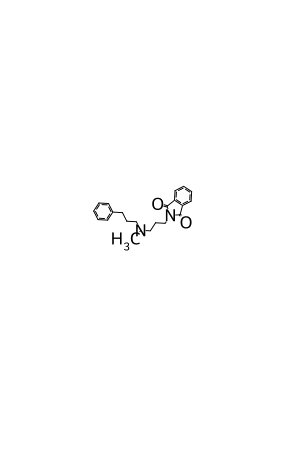 CN(CCCc1ccccc1)CCCN1C(=O)c2ccccc2C1=O